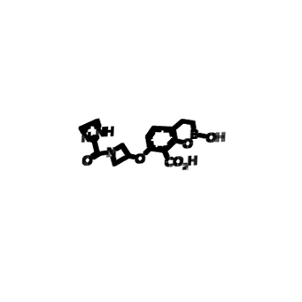 O=C(O)c1c(OC2CN(C(=O)c3ncc[nH]3)C2)ccc2c1OB(O)CC2